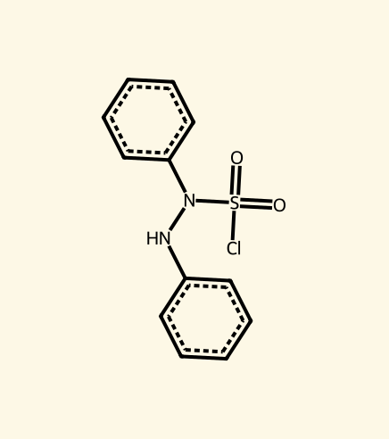 O=S(=O)(Cl)N(Nc1ccccc1)c1ccccc1